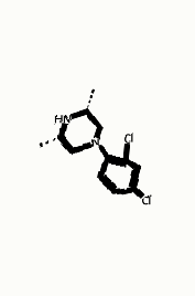 C[C@@H]1CN(c2ccc(Cl)cc2Cl)C[C@H](C)N1